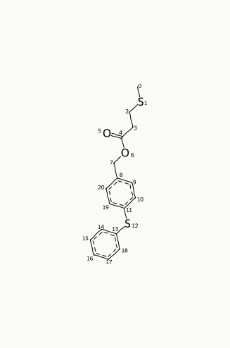 CSCCC(=O)OCc1ccc(Sc2ccccc2)cc1